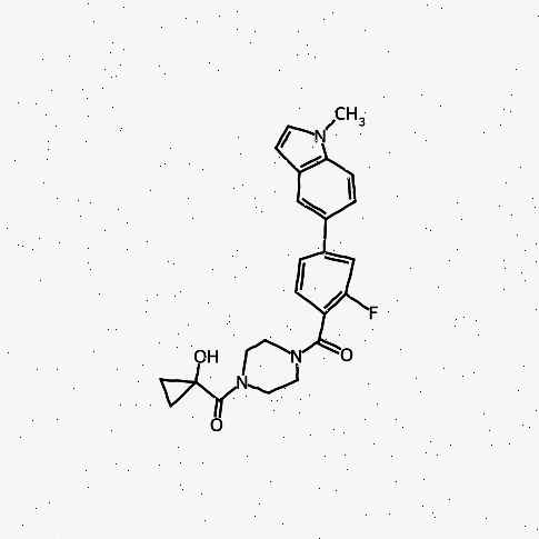 Cn1ccc2cc(-c3ccc(C(=O)N4CCN(C(=O)C5(O)CC5)CC4)c(F)c3)ccc21